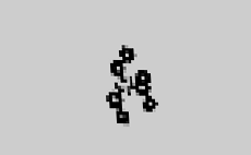 c1ccc(-c2cccc(-c3nc(-c4cccc(-c5ccccc5)c4)nc(-c4cc(-c5ccccc5)cc5ccccc45)n3)c2)cc1